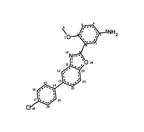 COc1ccc(N)cc1-c1nc2cc(-c3ccc(Cl)cc3)ccc2o1